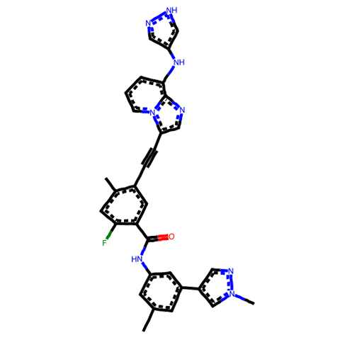 Cc1cc(NC(=O)c2cc(C#Cc3cnc4c(Nc5cn[nH]c5)cccn34)c(C)cc2F)cc(-c2cnn(C)c2)c1